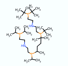 CC(C)P(CCNCCP(C(C)C)C(C)CCC(C)(C)P(CCNCCP(C(C)(C)C)C(C)(C)C)C(C)(C)C)C(C)C